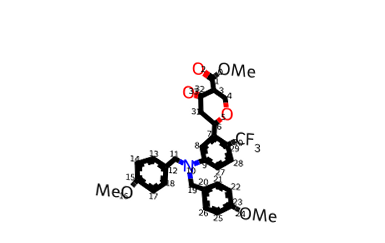 COC(=O)C1COC(c2cc(N(Cc3ccc(OC)cc3)Cc3ccc(OC)cc3)ccc2C(F)(F)F)CC1=O